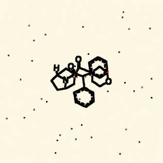 O=C(N1CCOCC1)N1CC2CC[C@H](C1)N2C(=O)C(c1ccccc1)c1ccccc1